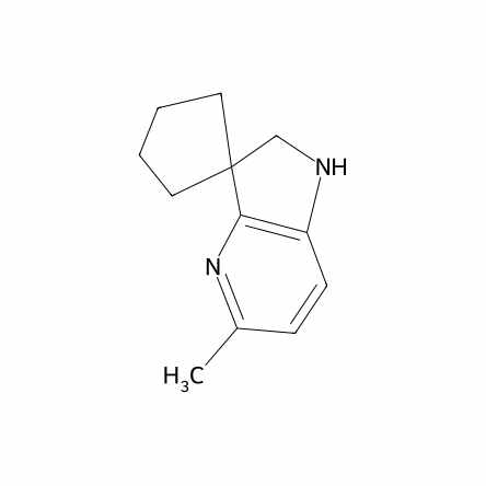 Cc1ccc2c(n1)C1(CCCC1)CN2